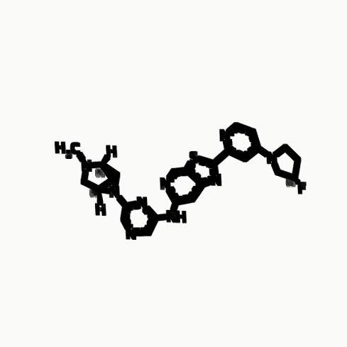 CN1C[C@@H]2C[C@H]1CN2c1cncc(Nc2cc3nc(-c4cc(N5CC[C@H](F)C5)ccn4)sc3cn2)n1